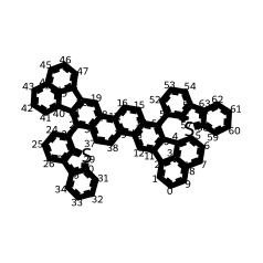 c1cc2c3c(cccc3c1)-c1c-2cc2c(ccc3c4cc5c(c(-c6cccc7c6sc6ccccc67)c4ccc23)-c2cccc3cccc-5c23)c1-c1cccc2c1sc1ccccc12